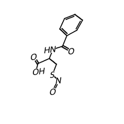 O=NSCC(NC(=O)c1ccccc1)C(=O)O